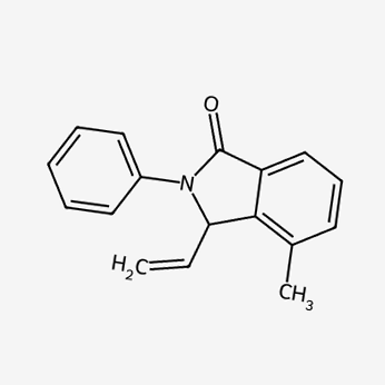 C=CC1c2c(C)cccc2C(=O)N1c1ccccc1